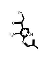 C=C(C)/C=N\c1[nH]cc(C(=O)CC(C)C)c1N